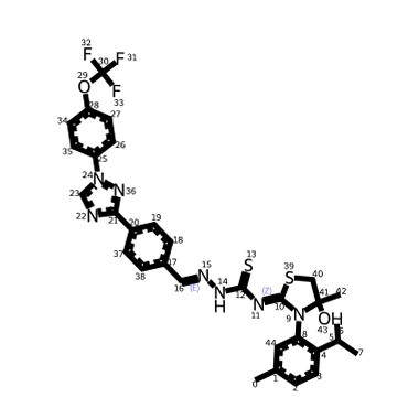 Cc1ccc(C(C)C)c(N2/C(=N/C(=S)N/N=C/c3ccc(-c4ncn(-c5ccc(OC(F)(F)F)cc5)n4)cc3)SCC2(C)O)c1